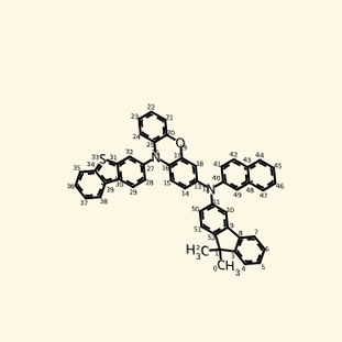 CC1(C)c2ccccc2-c2cc(N(c3ccc4c(c3)Oc3ccccc3N4c3ccc4c(c3)sc3ccccc34)c3ccc4ccccc4c3)ccc21